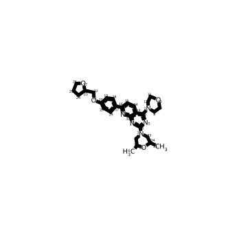 CC1CN(c2nc(N3CCOCC3)c3ccc(-c4ccc(OCC5CCCO5)cc4)nc3n2)CC(C)O1